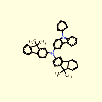 CC1(C)c2ccccc2-c2ccc(N(c3ccc4c(c3)C3C=CC=CC3C4(C)C)c3ccc4c(c3)c3ccccc3n4-c3ccccc3)cc21